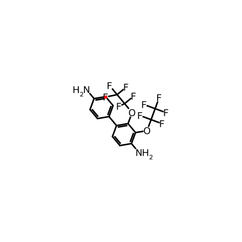 Nc1ccc(-c2ccc(N)c(OC(F)(F)C(F)(F)F)c2OC(F)(F)C(F)(F)F)cc1